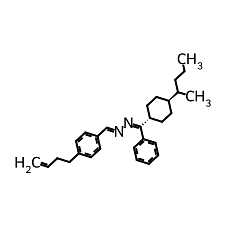 C=CCCc1ccc(C=NN=C(c2ccccc2)[C@H]2CC[C@H](C(C)CCC)CC2)cc1